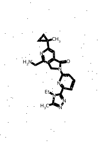 CCn1c(C)nnc1-c1cccc(N2Cc3c(cc(C4(C)CC4)nc3CN)C2=O)n1